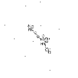 CC(C)(C)OC(=O)NCCOCCOCCN1CC(C(=O)NCCc2ccc(Cl)cc2)=C(O)C1=O